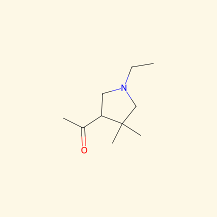 CCN1CC(C(C)=O)C(C)(C)C1